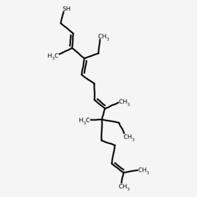 CCC(=C\C/C=C(\C)C(C)(CC)CCC=C(C)C)/C(C)=C/CS